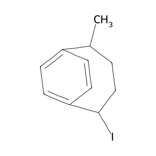 CC1CCC(I)c2ccc1cc2